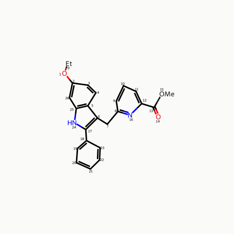 CCOc1ccc2c(Cc3cccc(C(=O)OC)n3)c(-c3ccccc3)[nH]c2c1